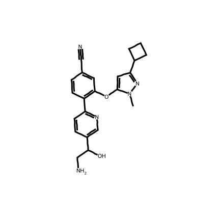 Cn1nc(C2CCC2)cc1Oc1cc(C#N)ccc1-c1ccc(C(O)CN)cn1